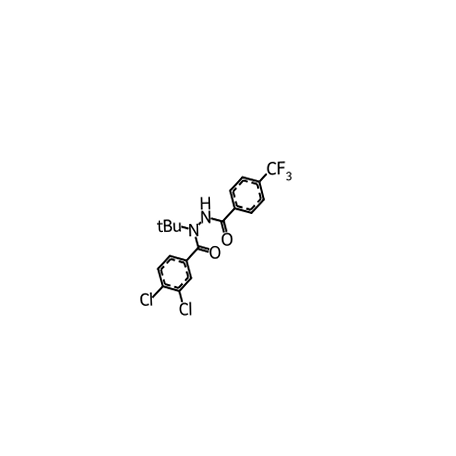 CC(C)(C)N(NC(=O)c1ccc(C(F)(F)F)cc1)C(=O)c1ccc(Cl)c(Cl)c1